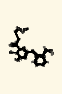 CCOC(=O)CCC(=O)c1nc(Cc2ccccc2OC(F)(F)F)cc(Br)c1O